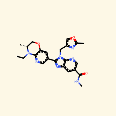 CCN1c2ncc(-c3nc4cc(C(=O)NC)cnc4n3Cc3coc(C)n3)cc2OC[C@H]1C